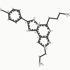 CCCCc1nc2nn(CCC)cc2c2nc(-c3ccc(Cl)cc3)nn12